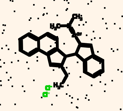 CCC1=Cc2c(ccc3ccccc23)C1C1[C]([Zr+2]=[Si](C)C)=Cc2ccccc21.[Cl-].[Cl-]